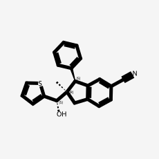 C[C@@]1([C@H](O)c2cccs2)Cc2ccc(C#N)cc2[C@@H]1c1ccccc1